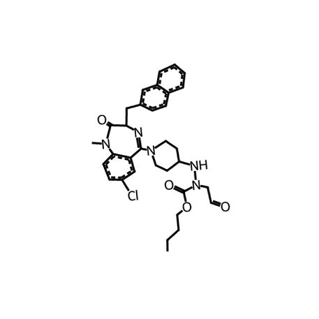 CCCCOC(=O)N(CC=O)NC1CCN(C2=NC(Cc3ccc4ccccc4c3)C(=O)N(C)c3ccc(Cl)cc32)CC1